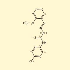 COc1ccccc1/C=N/NC(=S)Nc1ccc(Cl)cc1